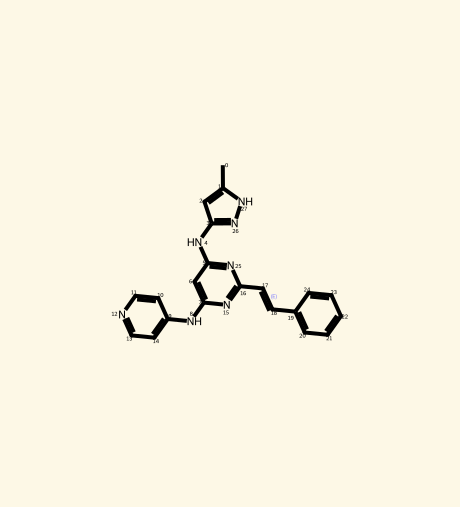 Cc1cc(Nc2cc(Nc3ccncc3)nc(/C=C/c3ccccc3)n2)n[nH]1